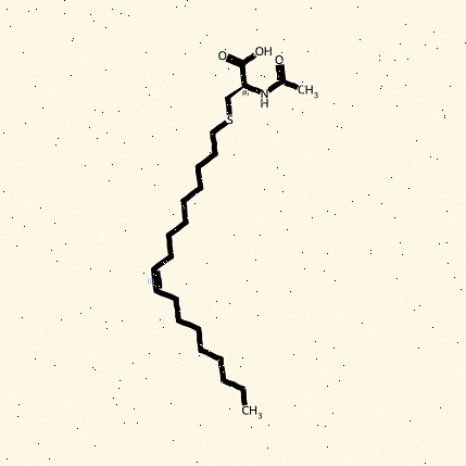 CCCCCCCC/C=C\CCCCCCCCSC[C@H](NC(C)=O)C(=O)O